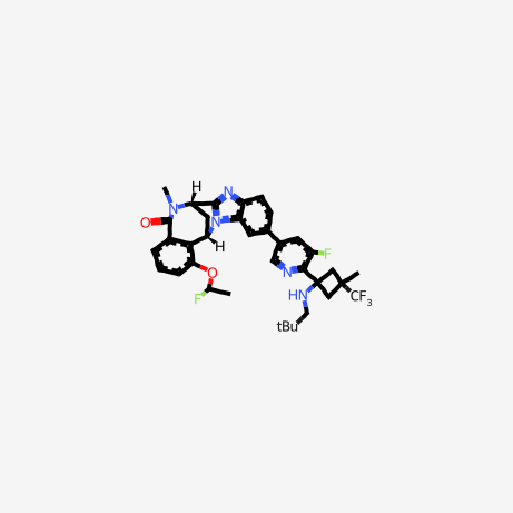 CC(F)Oc1cccc2c1[C@@H]1C[C@@H](c3nc4ccc(-c5cnc(C6(NCC(C)(C)C)CC(C)(C(F)(F)F)C6)c(F)c5)cc4n31)N(C)C2=O